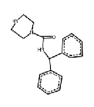 O=C(NC(c1ccccc1)c1ccccc1)N1CCNCC1